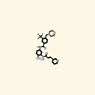 Cc1ccc(NC(=O)c2ccc(CN3CCOCC3)c(C(F)(F)F)c2)cc1NC(=O)C=Cc1cccnc1